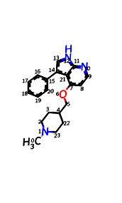 CN1CCC(COc2ccnc3[nH]cc(-c4ccccc4)c23)CC1